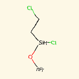 CCCO[SiH](Cl)CCCl